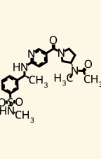 CNS(=O)(=O)c1cccc([C@H](C)Nc2ccc(C(=O)N3CC[C@H](N(C)C(C)=O)C3)cn2)c1